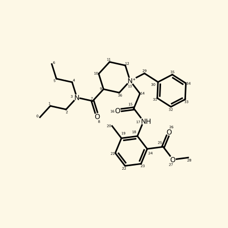 CCCN(CCC)C(=O)C1CCC[N+](CC(=O)Nc2c(C)cccc2C(=O)OC)(Cc2ccccc2)C1